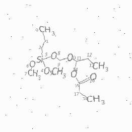 CCC[Si](OC)(OC)OCOC(CC)OC(=O)CC